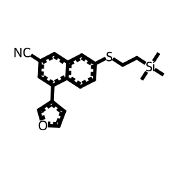 C[Si](C)(C)CCSc1ccc2c(-c3ccoc3)cc(C#N)cc2c1